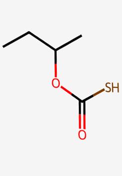 CCC(C)OC(=O)S